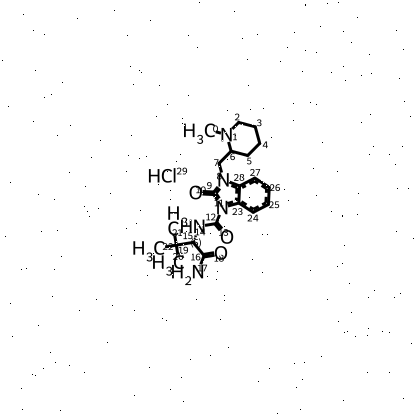 CN1CCCCC1Cn1c(=O)n(C(=O)N[C@H](C(N)=O)C(C)(C)C)c2ccccc21.Cl